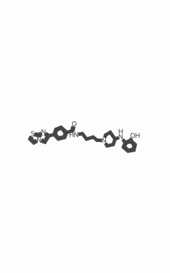 O=C(NCCCCN1CCC(Nc2ccccc2O)CC1)c1ccc(-c2cn3ccsc3n2)cc1